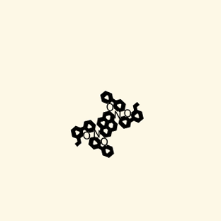 CCc1cccc2c1oc1c(N(c3ccc4ccc5c(N(c6cccc7c6oc6ccccc67)c6cccc7c6oc6c(CC)cccc67)ccc6ccc3c4c65)c3cccc4c3oc3ccccc34)cccc12